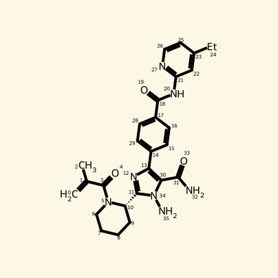 C=C(C)C(=O)N1CCCC[C@H]1c1nc(-c2ccc(C(=O)Nc3cc(CC)ccn3)cc2)c(C(N)=O)n1N